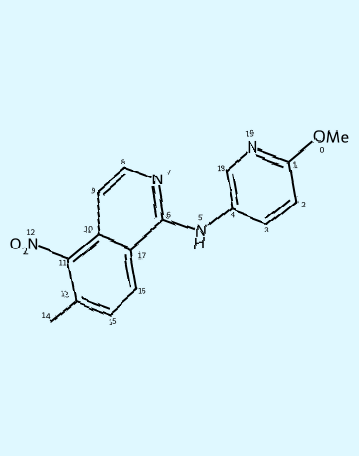 COc1ccc(Nc2nccc3c([N+](=O)[O-])c(C)ccc23)cn1